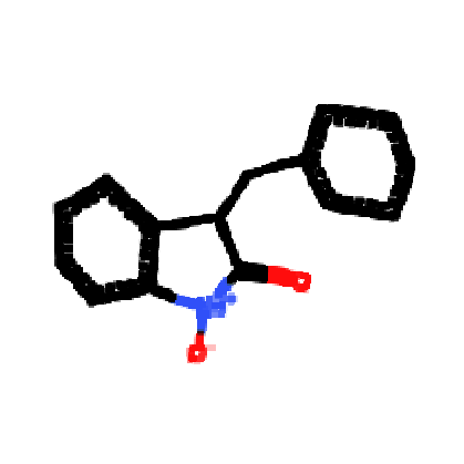 O=C1C(Cc2ccccc2)c2ccccc2[NH+]1[O-]